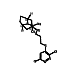 CB(O)N1[C@@H]2CC[C@H]1C[C@H](NCCCSc1cc(Cl)nnc1Cl)C2